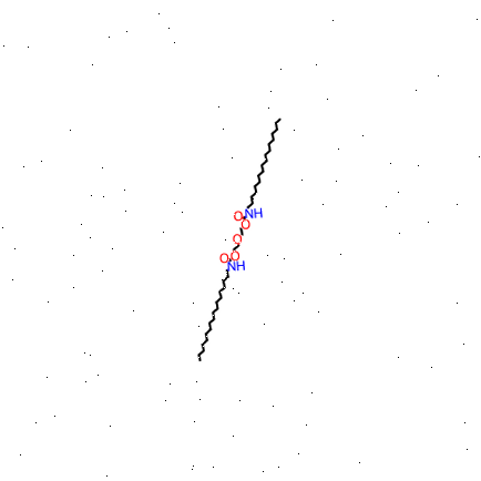 CCCCCCCCCCCCCCCCCCNC(=O)OCCOCCOC(=O)NCCCCCCCCCCCCCCCCCC